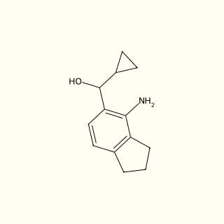 Nc1c(C(O)C2CC2)ccc2c1CCC2